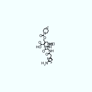 CN1CCN(C(=O)OCC2=C(C(=O)O)N3C(=O)C(NC(=O)Cc4csc(N)n4)[C@H]3SC2)CC1.Cl.Cl